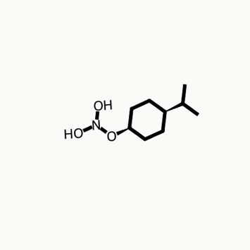 CC(C)[C@H]1CC[C@@H](ON(O)O)CC1